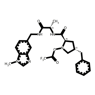 C[C@H](NC(=O)[C@H]1C[C@H](Cc2ccccc2)CN1OC(=O)C(F)(F)F)C(=O)NCc1ccc2c(c1)ncn2C